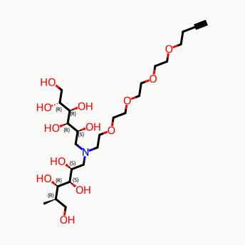 C#CCCOCCOCCOCCOCCN(C[C@H](O)[C@@H](O)[C@H](O)[C@H](C)CO)C[C@H](O)[C@@H](O)[C@H](O)[C@H](O)CO